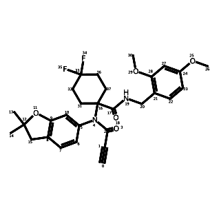 C#CC(=O)N(c1ccc2c(c1)OC(C)(C)C2)C1(C(=O)NCc2ccc(OC)cc2OC)CCC(F)(F)CC1